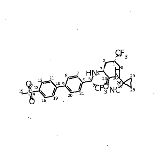 C[C@H](C[C@H](N[C@@H](c1ccc(-c2ccc(S(C)(=O)=O)cc2)cc1)C(F)(F)F)C(=O)NC1(C#N)CC1)C(F)(F)F